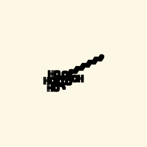 CCCCCCCCCCCC(OC1O[C@@H](C)[C@H](O)[C@@H](O)[C@H]1O)C(=O)O